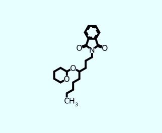 CCCCCC(CCCN1C(=O)c2ccccc2C1=O)OC1CCCCO1